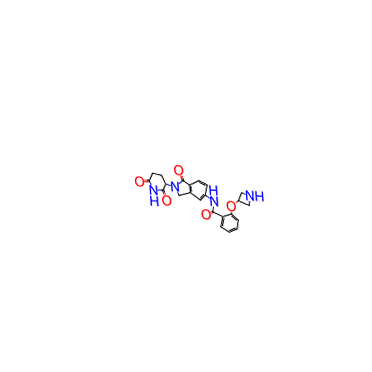 O=C1CCC(N2Cc3cc(NC(=O)c4ccccc4OC4CNC4)ccc3C2=O)C(=O)N1